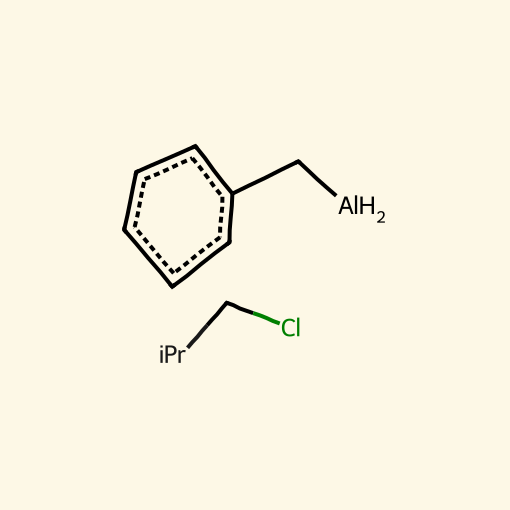 CC(C)CCl.[AlH2][CH2]c1ccccc1